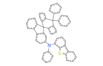 c1ccc(N(c2ccc3c(c2)C2(c4ccccc4-3)c3ccccc3C(c3ccccc3)(c3ccccc3)c3ccccc32)c2cccc3c2sc2ccccc23)cc1